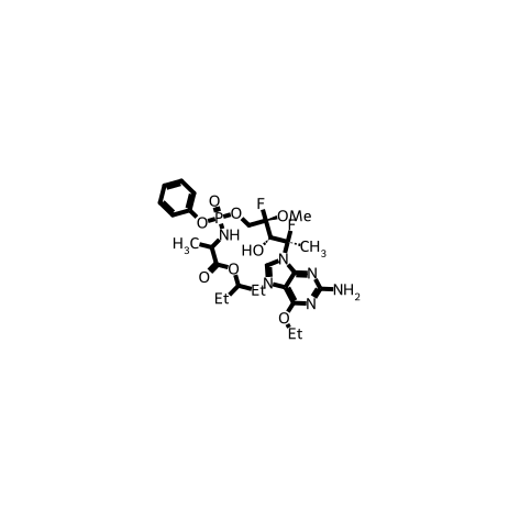 CCOc1nc(N)nc2c1ncn2[C@](C)(F)[C@H](O)[C@@](F)(COP(=O)(NC(C)C(=O)OC(CC)CC)Oc1ccccc1)OC